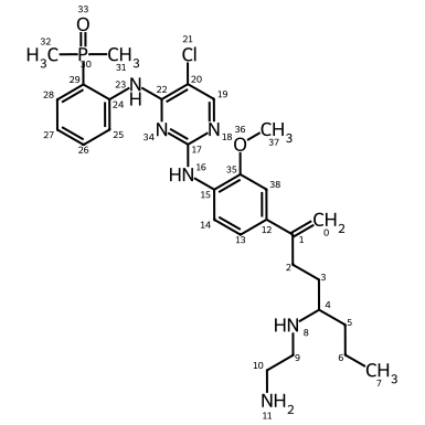 C=C(CCC(CCC)NCCN)c1ccc(Nc2ncc(Cl)c(Nc3ccccc3P(C)(C)=O)n2)c(OC)c1